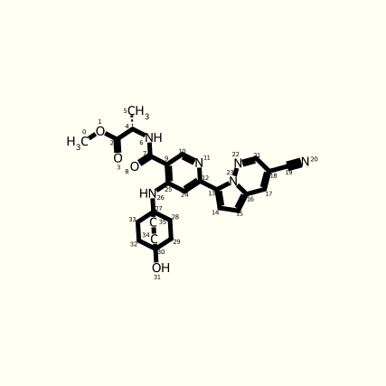 COC(=O)[C@H](C)NC(=O)c1cnc(-c2ccc3cc(C#N)cnn23)cc1NC12CCC(O)(CC1)CC2